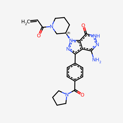 C=CC(=O)N1CCC[C@@H](n2nc(-c3ccc(C(=O)N4CCCC4)cc3)c3c(N)n[nH]c(=O)c32)C1